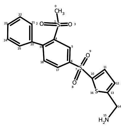 CS(=O)(=O)c1cc(S(=O)(=O)c2ccc(CN)s2)ccc1-c1ccccc1